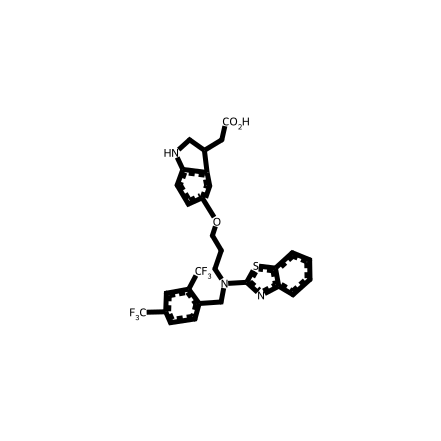 O=C(O)CC1CNc2ccc(OCCCN(Cc3ccc(C(F)(F)F)cc3C(F)(F)F)c3nc4ccccc4s3)cc21